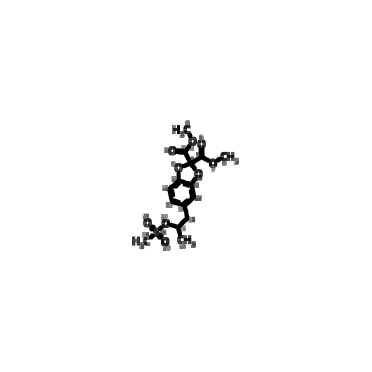 COC(=O)C1(C(=O)OC)Oc2ccc(CC(C)OS(C)(=O)=O)cc2O1